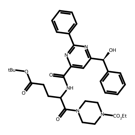 CCOC(=O)N1CCN(C(=O)C(CCC(=O)OC(C)(C)C)NC(=O)c2cc([C@@H](O)c3ccccc3)nc(-c3ccccc3)n2)CC1